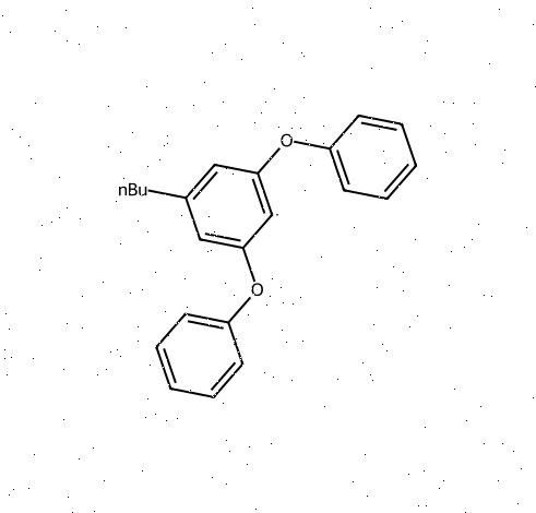 CCCCc1cc(Oc2ccccc2)[c]c(Oc2ccccc2)c1